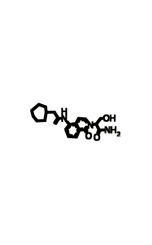 C=C(CC1CCCCCC1)Nc1cccc2c(=O)n(C(CO)C(N)=O)ccc12